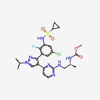 COC(=O)N[C@@H](C)CNc1nccc(-c2cn(C(C)C)nc2-c2cc(Cl)cc(NS(=O)(=O)C3CC3)c2F)n1